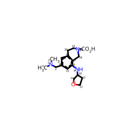 CN(C)Cc1cc2c(c(NC3CCOC3)c1)CN(C(=O)O)CC2